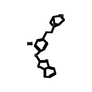 Cl.c1ccc2sc(Oc3ccc(CCN4CC5CC4CN5)cc3)nc2c1